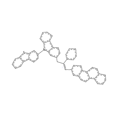 C(=C(\Cc1ccc2c3ccccc3n(-c3ccc4c(c3)sc3ccccc34)c2c1)c1ccccc1)/c1ccc2c(ccc3c4ccccc4ccc23)c1